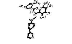 CCC[C@@H]1C[C@@H](C(=O)N[C@H](CNc2ccc(-c3cccnc3)cc2)C2OC(SC)C(O)C(O)C2O)N(C)C1